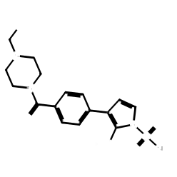 NS(=O)(=O)n1ccc(-c2ccc(C(=O)N3CCN(CCl)CC3)cc2)c1C(=O)O